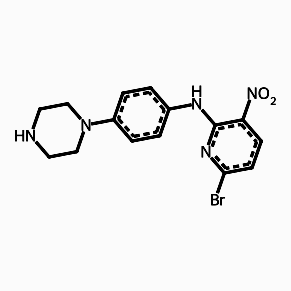 O=[N+]([O-])c1ccc(Br)nc1Nc1ccc(N2CCNCC2)cc1